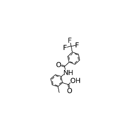 Cc1cccc(NC(=O)c2cccc(C(F)(F)F)c2)c1C(=O)O